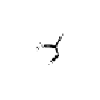 O=C([O-])C=S.[K+]